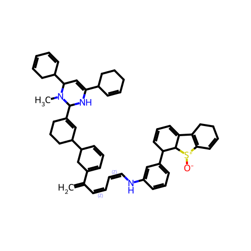 C=C(/C=C\C=C/Nc1cccc(C2C=CC=C3C4=C(C=CCC4)[S+]([O-])C32)c1)C1=CC=CC(C2C=C(C3NC(C4C=CCCC4)=CC(C4C=CC=CC4)N3C)CCC2)C1